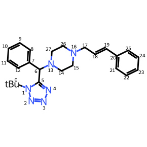 CC(C)(C)n1nnnc1C(c1ccccc1)N1CCN(CC=Cc2ccccc2)CC1